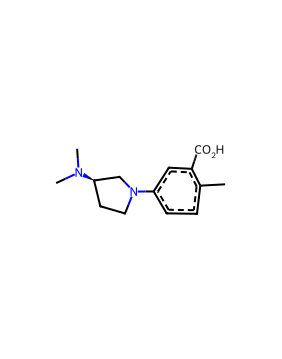 Cc1ccc(N2CC[C@@H](N(C)C)C2)cc1C(=O)O